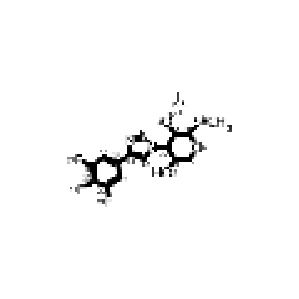 COC1C(SC)OCC(O)C1n1cc(-c2cc(F)c(F)c(F)c2)nn1